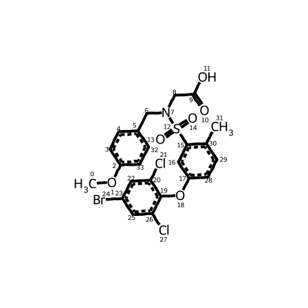 COc1ccc(CN(CC(=O)O)S(=O)(=O)c2cc(Oc3c(Cl)cc(Br)cc3Cl)ccc2C)cc1